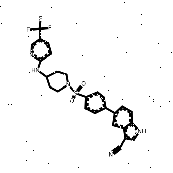 N#Cc1c[nH]c2ccc(-c3ccc(S(=O)(=O)N4CCC(Nc5ccc(C(F)(F)F)cn5)CC4)cc3)cc12